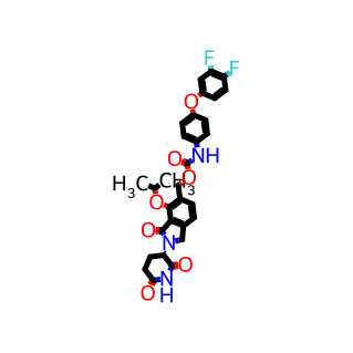 CC(C)Oc1c(COC(=O)Nc2ccc(Oc3ccc(F)c(F)c3)cc2)ccc2c1C(=O)N([C@H]1CCC(=O)NC1=O)C2